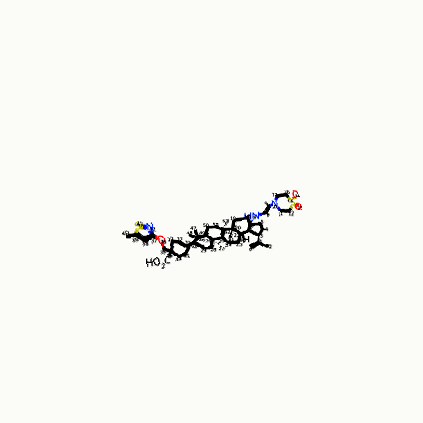 C=C(C)[C@@H]1CC[C@]2(NCCN3CCS(=O)(=O)CC3)CC[C@]3(C)[C@H](CCC4[C@@]5(C)CC=C(C6=CCC(COc7cc(C)sn7)(C(=O)O)CC6)C(C)(C)C5CC[C@]43C)C12